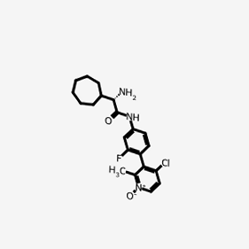 Cc1c(-c2ccc(NC(=O)[C@@H](N)C3CCCCCC3)cc2F)c(Cl)cc[n+]1[O-]